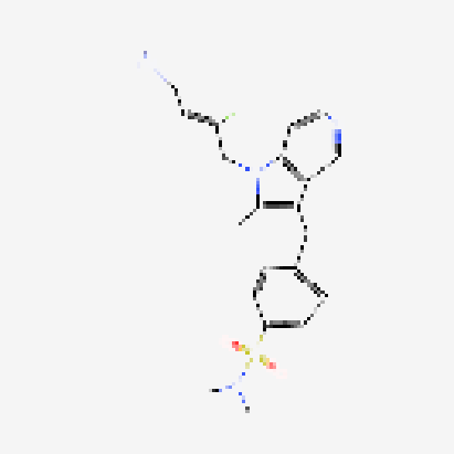 Cc1c(Cc2ccc(S(=O)(=O)N(C)C)cc2)c2cnccc2n1C/C(F)=C/CNC(=O)O